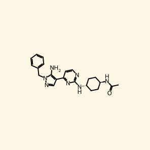 CC(=O)N[C@H]1CC[C@H](Nc2nccc(-c3cnn(Cc4ccccc4)c3N)n2)CC1